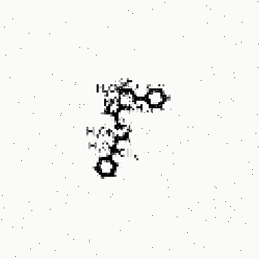 Cn1c(C(C)(C)c2ccccc2)cnc1-c1cnn2c1NC(c1ccccc1)CC2(C)C